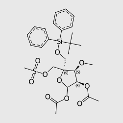 CO[C@H]1[C@@H](OC(C)=O)C(OC(C)=O)O[C@@]1(CO[Si](c1ccccc1)(c1ccccc1)C(C)(C)C)COS(C)(=O)=O